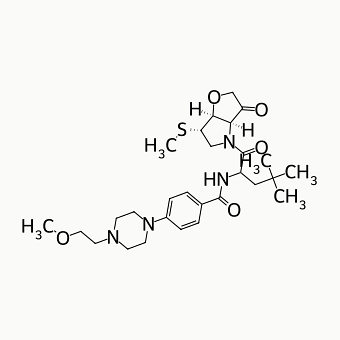 COCCN1CCN(c2ccc(C(=O)NC(CC(C)(C)C)C(=O)N3C[C@H](SC)[C@H]4OCC(=O)[C@H]43)cc2)CC1